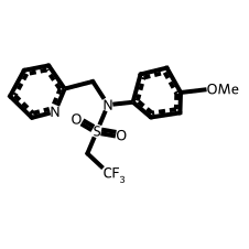 COc1ccc(N(Cc2ccccn2)S(=O)(=O)CC(F)(F)F)cc1